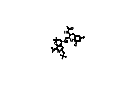 CC(=O)N[C@@H](Cc1cc(F)cc(Cl)c1)[C@H](O)CN[C@H]1CC(C)(C)Oc2c1cc(CC(C)(C)C)nc2N(C)C